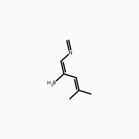 B/C(C=C(C)C)=C/N=C